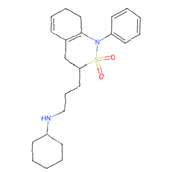 O=S1(=O)C(CCCNC2CCCCC2)CC2=C(CCC=C2)N1c1ccccc1